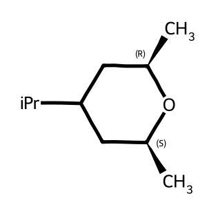 CC(C)C1C[C@@H](C)O[C@@H](C)C1